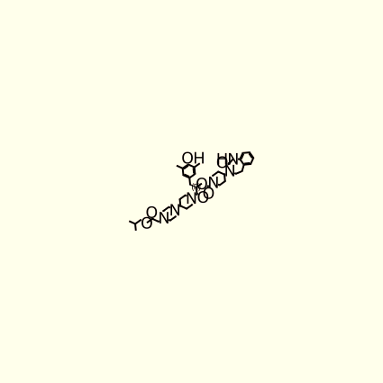 Cc1cc(C[C@@H](OC(=O)N2CCC(N3CCc4ccccc4NC3=O)CC2)C(=O)N2CCC(N3CCN(CC(=O)OCC(C)C)CC3)CC2)cc(C)c1O